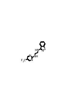 FC(F)(F)c1cnc(NCCNc2nsc3ccccc23)nc1